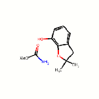 CC1(C)Cc2cccc(O)c2O1.COC(N)=O